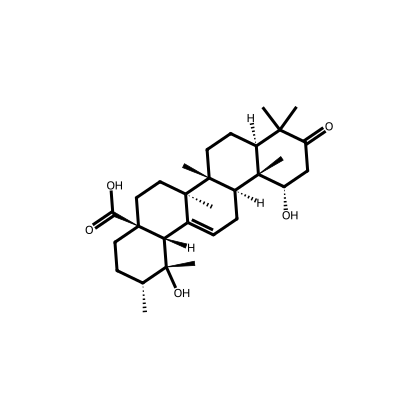 C[C@@H]1CC[C@]2(C(=O)O)CC[C@]3(C)C(=CC[C@@H]4[C@@]5(C)[C@@H](O)CC(=O)C(C)(C)[C@@H]5CC[C@]43C)[C@@H]2[C@]1(C)O